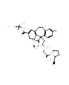 C=C(CNCCC1(c2nnn[nH]2)C2=C(C=C(C(=O)NC(C)(C)C)CC2)CCc2cc(F)ccc21)N1CCCC1C#N